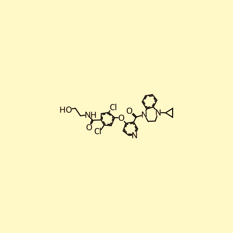 O=C(NCCO)c1cc(Cl)c(Oc2ccncc2C(=O)N2CCN(C3CC3)c3ccccc32)cc1Cl